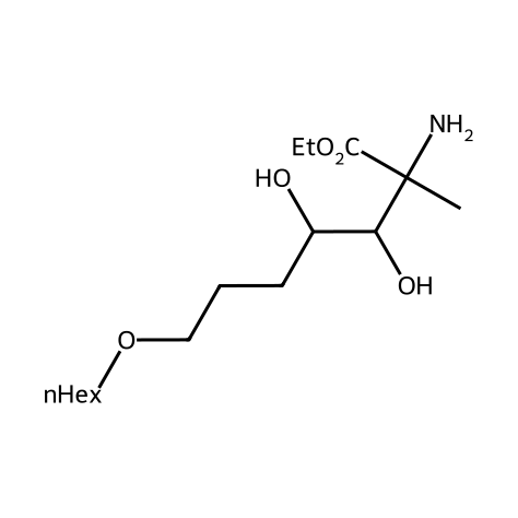 CCCCCCOCCCC(O)C(O)C(C)(N)C(=O)OCC